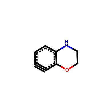 c1ccc2c(c#1)OCCN2